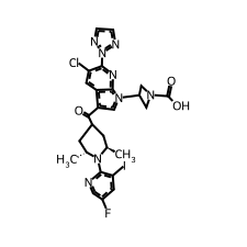 C[C@@H]1CC(C(=O)c2cn(C3CN(C(=O)O)C3)c3nc(-n4nccn4)c(Cl)cc23)C[C@@H](C)N1c1ncc(F)cc1I